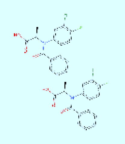 C[C@H](C(=O)O)N(C(=O)c1ccccc1)c1ccc(F)c(Cl)c1.C[C@H](C(=O)O)N(C(=O)c1ccccc1)c1ccc(F)c(Cl)c1